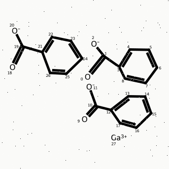 O=C([O-])c1ccccc1.O=C([O-])c1ccccc1.O=C([O-])c1ccccc1.[Ga+3]